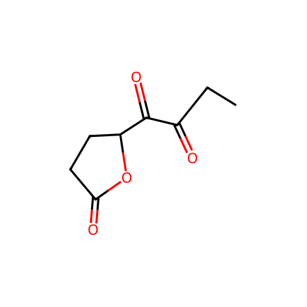 CCC(=O)C(=O)C1CCC(=O)O1